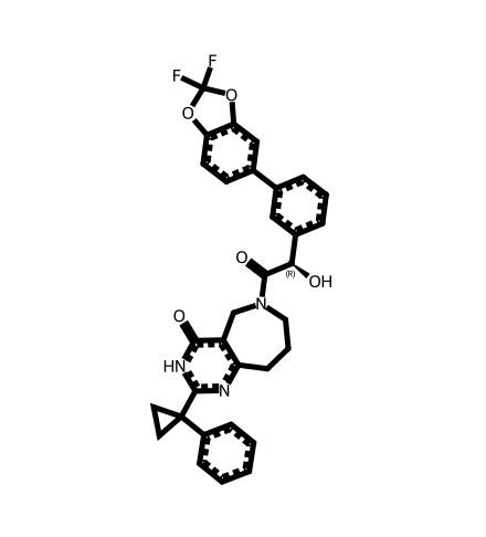 O=C([C@H](O)c1cccc(-c2ccc3c(c2)OC(F)(F)O3)c1)N1CCCc2nc(C3(c4ccccc4)CC3)[nH]c(=O)c2C1